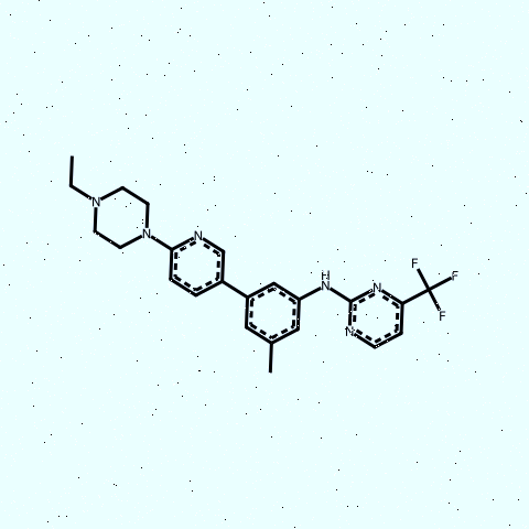 CCN1CCN(c2ccc(-c3cc(C)cc(Nc4nccc(C(F)(F)F)n4)c3)cn2)CC1